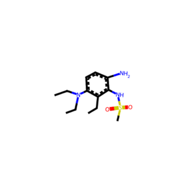 CCc1c(N(CC)CC)ccc(N)c1NS(C)(=O)=O